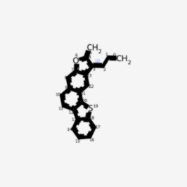 C=C/C=c1\c(=C)oc2cc3ccc4c5ccccc5sc4c3cc12